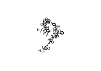 CC[C@@]1(OC(=O)OCc2ccc(NC(=O)CNC(=O)[C@H](Cc3ccccc3)NC(=O)CNC(=O)CNC(=O)CCCCCN3C(=O)CC(C)C3=O)cc2)C(=O)OCc2c1cc1n(c2=O)Cc2c-1nc1cc(F)c(C)c3c1c2[C@@H](C)CC3